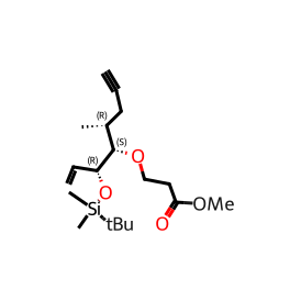 C#CC[C@@H](C)[C@H](OCCC(=O)OC)[C@@H](C=C)O[Si](C)(C)C(C)(C)C